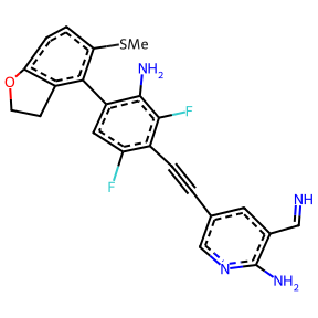 CSc1ccc2c(c1-c1cc(F)c(C#Cc3cnc(N)c(C=N)c3)c(F)c1N)CCO2